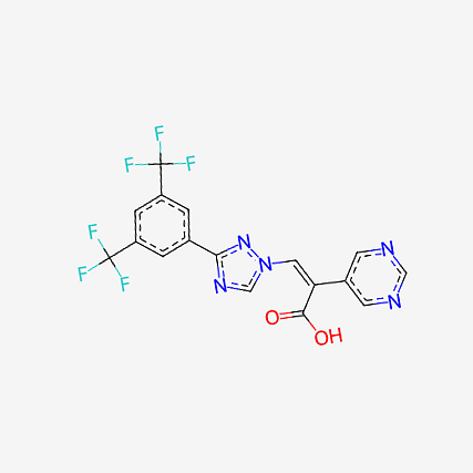 O=C(O)/C(=C\n1cnc(-c2cc(C(F)(F)F)cc(C(F)(F)F)c2)n1)c1cncnc1